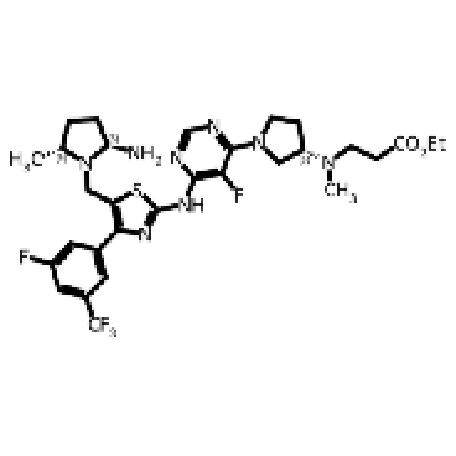 CCOC(=O)CCN(C)[C@H]1CCN(c2ncnc(Nc3nc(-c4cc(F)cc(C(F)(F)F)c4)c(CN4[C@H](C)CC[C@H]4N)s3)c2F)C1